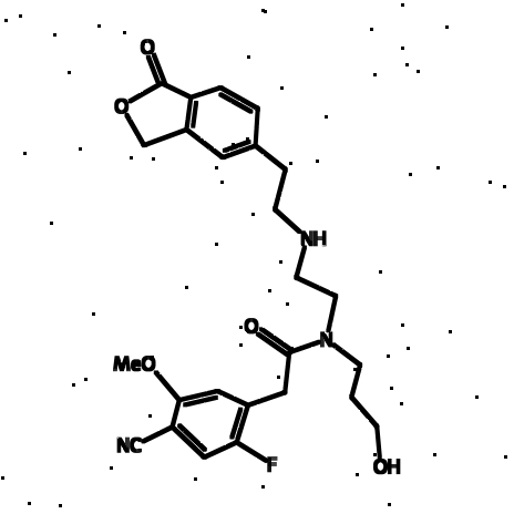 COc1cc(CC(=O)N(CCCO)CCNCCc2ccc3c(c2)COC3=O)c(F)cc1C#N